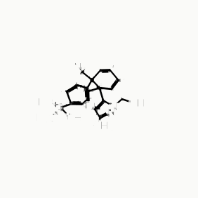 CCn1nc(C)cc1C1(C(=O)O)C=CC=CC1(C#N)c1ccc([Si](C)(C)C)cc1